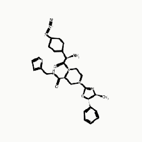 C[C@@H]1N=C(N2CCN(C(=O)[C@H](N)C3CCC(N=[N+]=[N-])CC3)[C@H](C(=O)NCc3cccs3)C2)O[C@H]1c1ccccc1